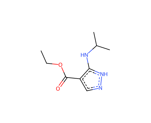 CCOC(=O)c1cn[nH]c1NC(C)C